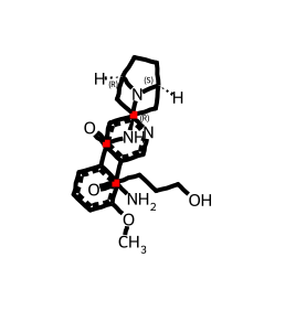 COc1cccc(C(=O)N[C@H]2C[C@H]3CC[C@@H](C2)N3c2ccc(C(N)=O)cn2)c1CCCO